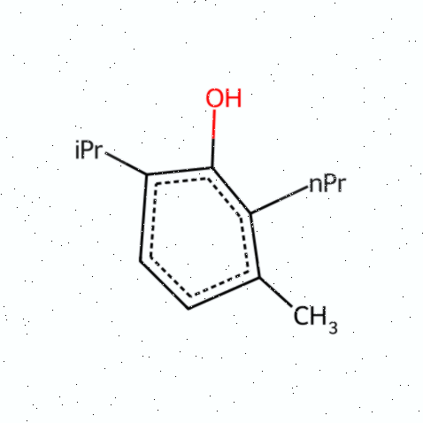 CCCc1c(C)ccc(C(C)C)c1O